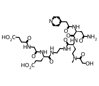 CN(CC[C@H](NC(=O)[C@H](CC(N)=O)NC(=O)Cc1ccncc1)C(=O)NCCNC(=O)[C@@H](CCC(=O)O)NC(=O)CNC(=O)CCC(=O)O)C(=O)CO